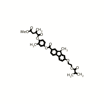 C=C(C)C(=O)OCCOc1ccc2c(c1)C(C)c1cc(C(=O)Oc3ccc(OC(=O)C(=C)CC(=O)OC)c(C)c3)ccc1-2